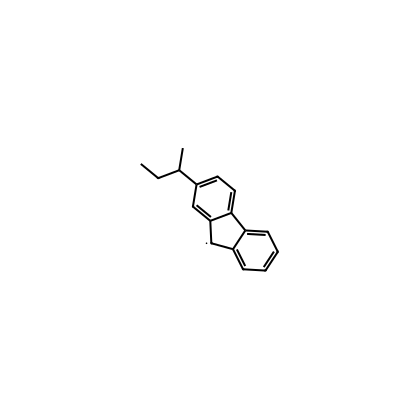 CCC(C)c1ccc2c(c1)[CH]c1ccccc1-2